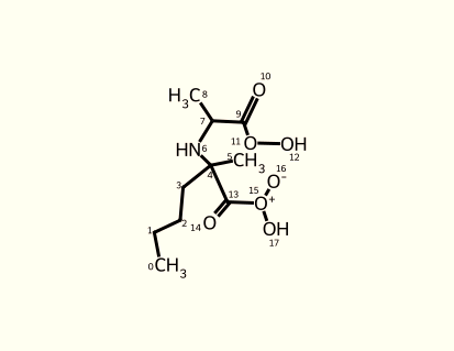 CCCCC(C)(NC(C)C(=O)OO)C(=O)[O+]([O-])O